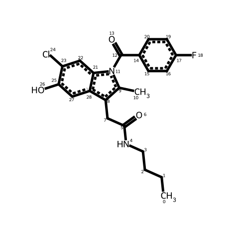 CCCCNC(=O)Cc1c(C)n(C(=O)c2ccc(F)cc2)c2cc(Cl)c(O)cc12